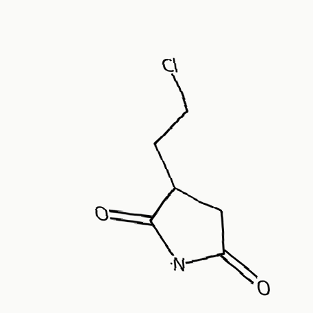 O=C1CC(CCCl)C(=O)[N]1